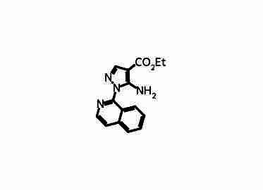 CCOC(=O)c1cnn(-c2nccc3ccccc23)c1N